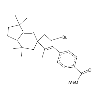 CCC(C)CCC1(/C(C)=C/c2ccc(C(=O)OC)cc2)C=C2C(CCC2(C)C)C(C)(C)C1